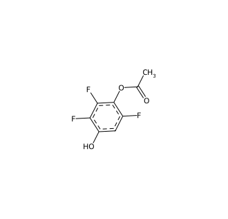 CC(=O)Oc1c(F)cc(O)c(F)c1F